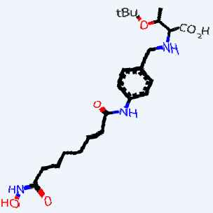 CC(OC(C)(C)C)C(NCc1ccc(NC(=O)CCCCCCC(=O)NO)cc1)C(=O)O